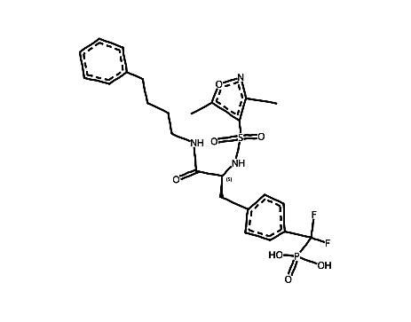 Cc1noc(C)c1S(=O)(=O)N[C@@H](Cc1ccc(C(F)(F)P(=O)(O)O)cc1)C(=O)NCCCCc1ccccc1